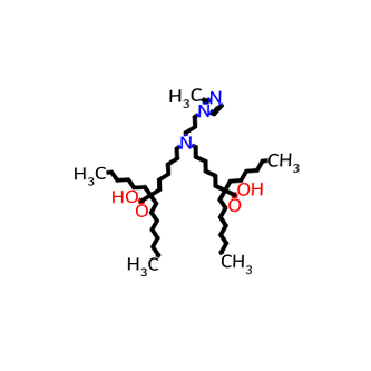 CCCCCCCCC(CCCCCC)(CCCCCCN(CCCCCCC(CCCCCC)(CCCCCCCC)C(=O)O)CCCn1ccnc1C)C(=O)O